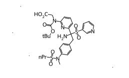 CCCS(=O)(=O)N(C)c1ccc(CC(N)(c2cccc(N(CC(=O)O)C(=O)OC(C)(C)C)n2)S(=O)(=O)c2cccnc2)cc1